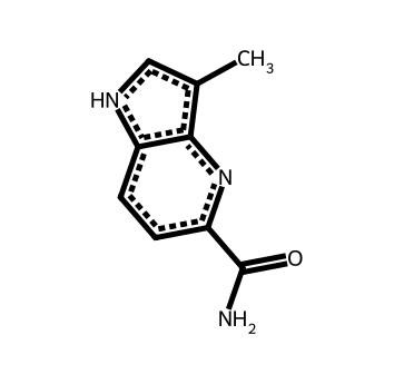 Cc1c[nH]c2ccc(C(N)=O)nc12